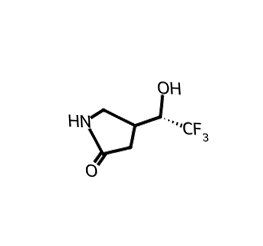 O=C1CC([C@H](O)C(F)(F)F)CN1